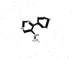 CNc1cncnc1-c1ccccc1